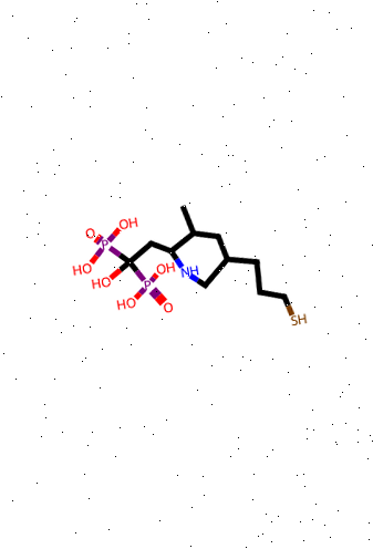 CC1CC(CCCS)CNC1CC(O)(P(=O)(O)O)P(=O)(O)O